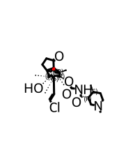 C[C@@H]1CCC23CCC(=O)C2[C@]1(C)[C@H](OC(=O)NC(=O)[C@H]1CN(C)CC[C@@H]1C)C[C@@](C)(C=CCl)[C@@H](O)[C@@H]3C